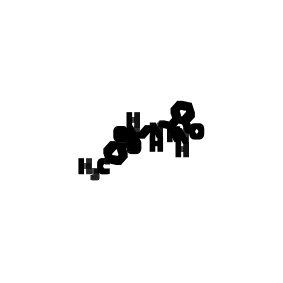 Cc1ccc(S(=O)(=O)NCCNCc2n[nH]c(=O)c3ccccc23)cc1